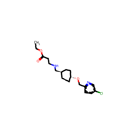 CCOC(=O)CCNC[C@H]1CC[C@H](OCc2ccc(Cl)cn2)CC1